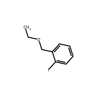 CCOCc1ccccc1I